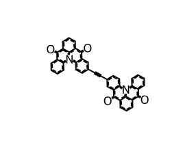 O=c1c2ccccc2n2c3ccc(C#Cc4ccc5c(c4)c(=O)c4cccc6c(=O)c7ccccc7n5c64)cc3c(=O)c3cccc1c32